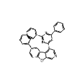 c1ccc(-c2ccc3oc4cncc(-c5nc(-c6ccccc6)nc(-c6ccccc6)n5)c4c3c2)cc1